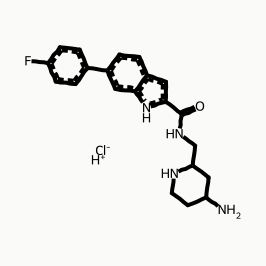 NC1CCNC(CNC(=O)c2cc3ccc(-c4ccc(F)cc4)cc3[nH]2)C1.[Cl-].[H+]